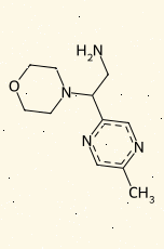 Cc1cnc(C(CN)N2CCOCC2)cn1